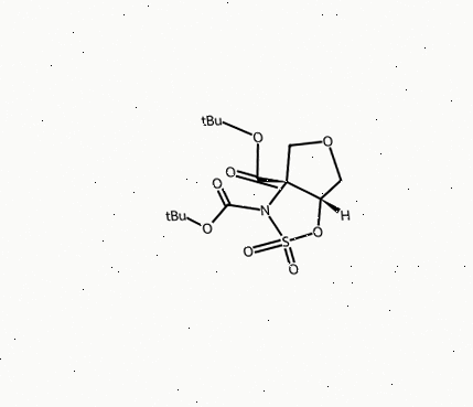 CC(C)(C)OC(=O)N1[C@]2(C(=O)OC(C)(C)C)COC[C@@H]2OS1(=O)=O